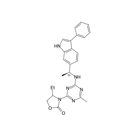 CCC1COC(=O)N1c1nc(C)nc(N[C@@H](C)c2ccc3c(-c4ccccc4)c[nH]c3c2)n1